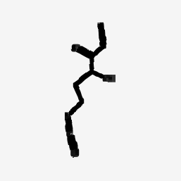 C=CC(=O)C(O)CCN=C=O